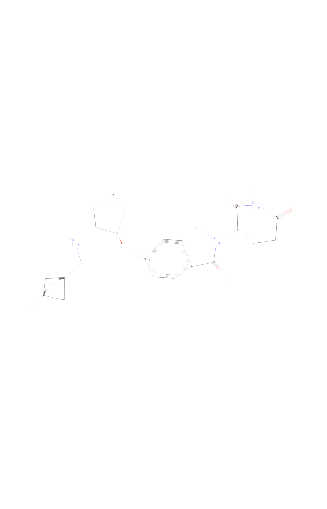 CCN(CC12CC(F)(C1)C2)[C@@H]1CCC[C@H]1Oc1ccc2c(c1)CN(C1CCC(=O)NC1=O)C2=O